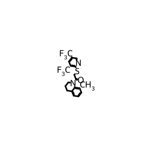 Cc1cccc2c1N(C(=O)CSc1ncc(C(F)(F)F)cc1C(F)(F)F)CCC2